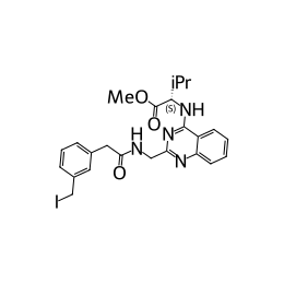 COC(=O)[C@@H](Nc1nc(CNC(=O)Cc2cccc(CI)c2)nc2ccccc12)C(C)C